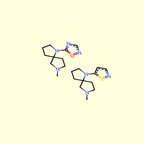 CN1CCC2(CCCN2c2ccns2)C1.CN1CCC2(CCCN2c2ncno2)C1